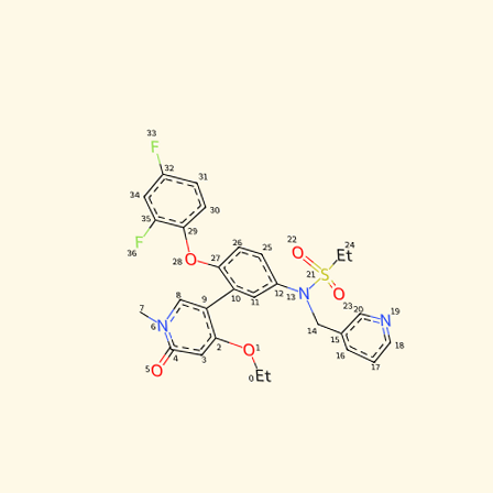 CCOc1cc(=O)n(C)cc1-c1cc(N(Cc2cccnc2)S(=O)(=O)CC)ccc1Oc1ccc(F)cc1F